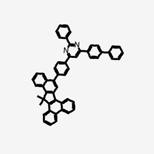 CC1(C)c2c(cc(-c3ccc(-c4cc(-c5ccc(-c6ccccc6)cc5)nc(-c5ccccc5)n4)cc3)c3ccccc23)-c2c1c1ccccc1c1ccccc21